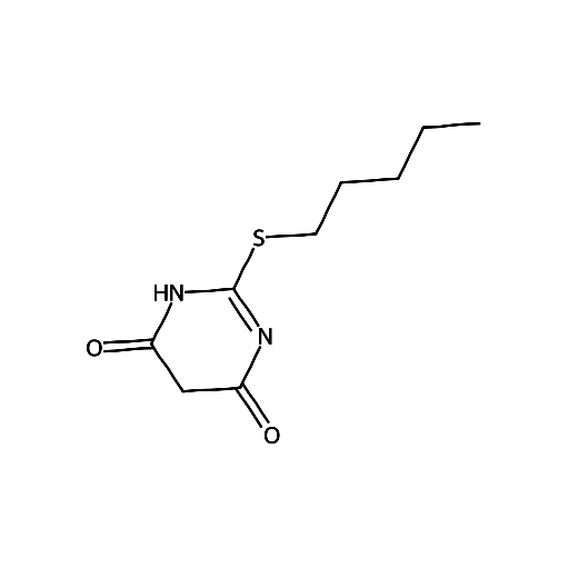 CCCCCSC1=NC(=O)CC(=O)N1